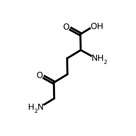 NCC(=O)CCC(N)C(=O)O